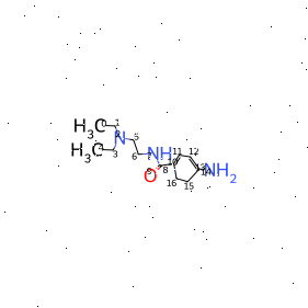 CCN(CC)CCNC(=O)C1=CC=C(N)CC1